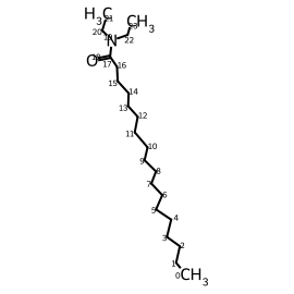 CCCCCCCCCCCCCCCCCC(=O)N(CC)CC